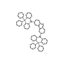 c1ccc(C2(c3ccccc3)c3ccccc3N(c3ccc4sc5ccc(N6c7ccccc7C(c7ccccc7)(c7ccccc7)c7ccccc76)cc5c4c3)c3ccccc32)cc1